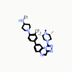 CCNC1CCN(c2ccc(-c3ccc4ncc5nnc(N6C[C@@H](C)N(C)[C@@H](C)C6)n5c4c3)cc2C(F)(F)F)CC1